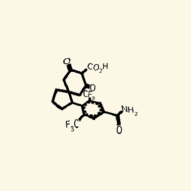 NC(=O)c1cc(C(F)(F)F)c(C2CCCC23CC(=O)C(C(=O)O)C(=O)C3)c(C(F)(F)F)c1